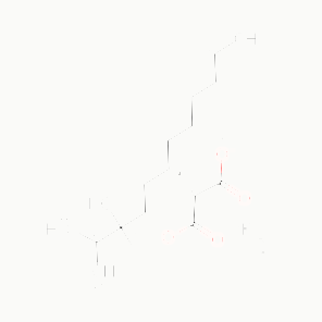 O=C([O-])CC(=O)[O-].[K+].[K+].[Li][C](C)(CCCCCCCCC)C(C)C